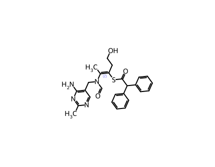 C/C(=C(\CCO)SC(=O)C(c1ccccc1)c1ccccc1)N(C=O)Cc1cnc(C)nc1N